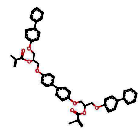 C=C(C)C(=O)OC(COc1ccc(-c2ccccc2)cc1)COc1ccc(-c2ccc(OCC(COc3ccc(-c4ccccc4)cc3)OC(=O)C(=C)C)cc2)cc1